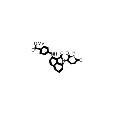 COC(=O)c1ccc(Nc2ccc3cccc4c3c2C(=O)N4C2CCC(=O)NC2=O)cc1